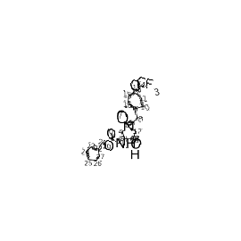 O=C(N[C@@H]1CN(C(=O)Cc2ccc(OC(F)(F)F)cc2)C[C@H]1O)OCc1ccccc1